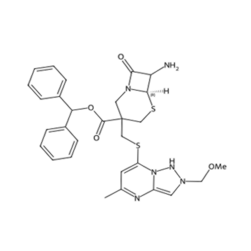 COCN1C=C2N=C(C)C=C(SCC3(C(=O)OC(c4ccccc4)c4ccccc4)CS[C@@H]4C(N)C(=O)N4C3)N2N1